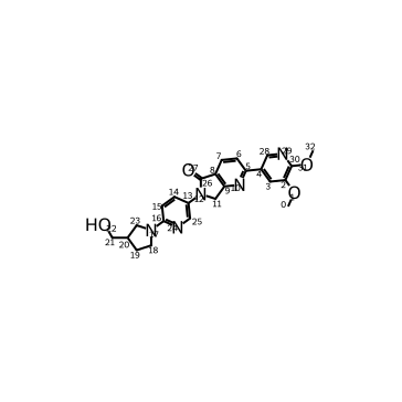 COc1cc(-c2ccc3c(n2)CN(c2ccc(N4CCC(CO)C4)nc2)C3=O)cnc1OC